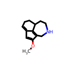 COC1=CC2=CCCC3CCNCC1=C23